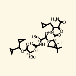 CC(C)(C)[C@H](NC(=O)N[C@H](C(=O)N1CC2[C@@H]([C@H]1C(=O)NC(CC1CC1)C(=O)C(N)=O)C2(C)C)C(C)(C)C)C(=O)OC(C1CC1)C1CC1